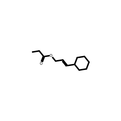 CCC(=O)OCC=CC1CCCCC1